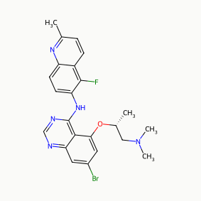 Cc1ccc2c(F)c(Nc3ncnc4cc(Br)cc(O[C@H](C)CN(C)C)c34)ccc2n1